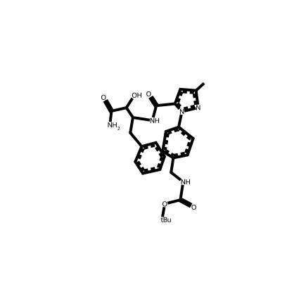 Cc1cc(C(=O)NC(Cc2ccccc2)C(O)C(N)=O)n(-c2ccc(CNC(=O)OC(C)(C)C)cc2)n1